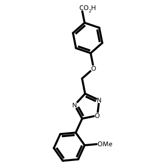 COc1ccccc1-c1nc(COc2ccc(C(=O)O)cc2)no1